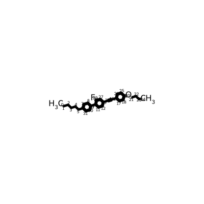 CCCCCCc1ccc(-c2ccc(C#Cc3ccc(OCCCC)cc3)cc2F)cc1